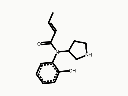 CC=CC(=O)N(c1ccccc1O)C1CCNC1